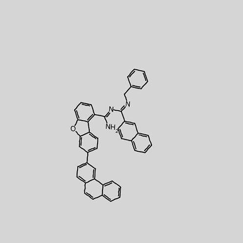 N/C(=N\C(=N/Cc1ccccc1)c1ccc2ccccc2c1)c1cccc2oc3cc(-c4ccc5ccc6ccccc6c5c4)ccc3c12